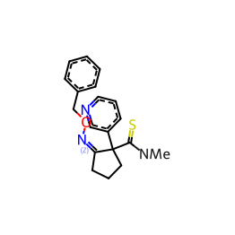 CNC(=S)C1(c2cccnc2)CCC/C1=N/OCc1ccccc1